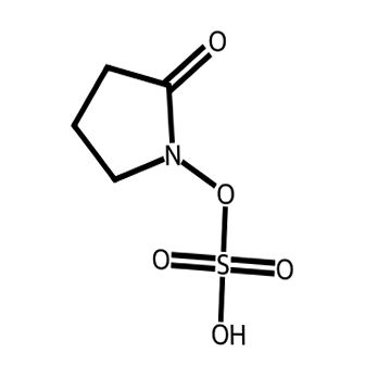 O=C1CCCN1OS(=O)(=O)O